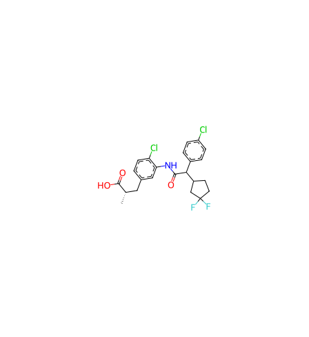 C[C@@H](Cc1ccc(Cl)c(NC(=O)C(c2ccc(Cl)cc2)C2CCC(F)(F)C2)c1)C(=O)O